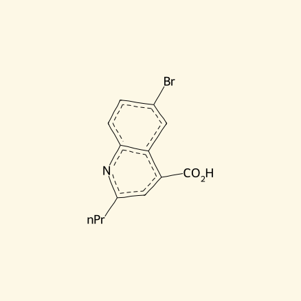 CCCc1cc(C(=O)O)c2cc(Br)ccc2n1